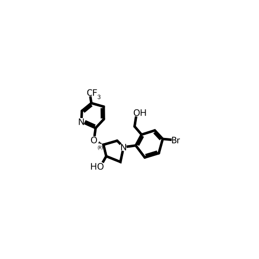 OCc1cc(Br)ccc1N1CC(O)[C@H](Oc2ccc(C(F)(F)F)cn2)C1